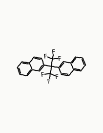 FC(F)(F)C(c1ccc2ccccc2c1)(c1ccc2ccccc2c1)C(F)(F)F